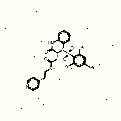 CC(C)c1cc(C(C)C)c(S(=O)(=O)N2c3ccccc3NC(=O)[C@H]2CC(=O)NCCc2ccncc2)c(C(C)C)c1